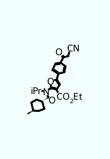 CCOC(=O)c1cc(-c2ccc(C(=O)CC#N)cc2)oc1N(C(=O)[C@H]1CC[C@H](C)CC1)C(C)C